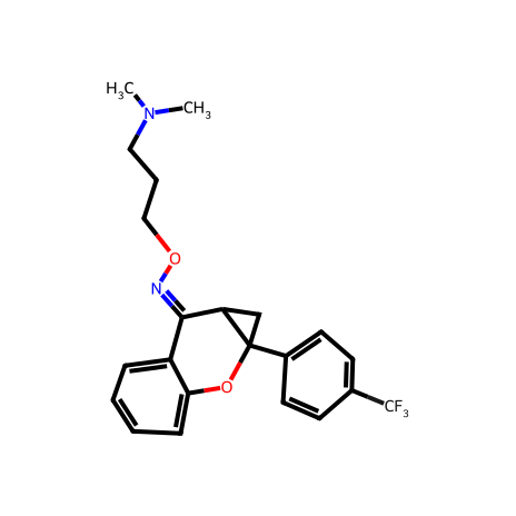 CN(C)CCCON=C1c2ccccc2OC2(c3ccc(C(F)(F)F)cc3)CC12